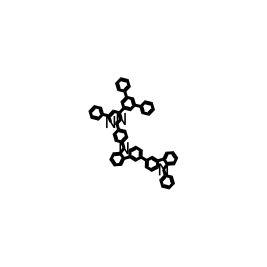 c1ccc(-c2cc(-c3ccccc3)cc(-c3cc(-c4ccccc4)nc(-c4ccc(-n5c6ccccc6c6cc(-c7ccc8c(c7)c7ccccc7n8-c7ccccc7)ccc65)cc4)n3)c2)cc1